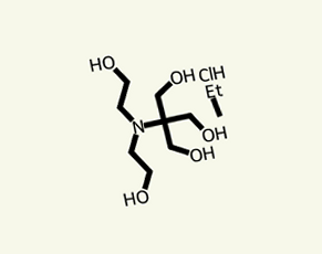 CCC.Cl.OCCN(CCO)C(CO)(CO)CO